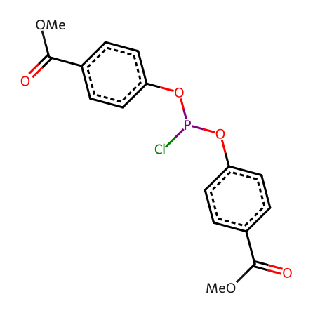 COC(=O)c1ccc(OP(Cl)Oc2ccc(C(=O)OC)cc2)cc1